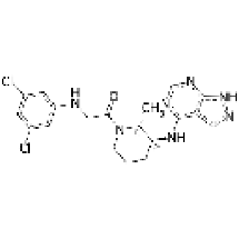 C[C@@H]1[C@@H](Nc2ncnc3[nH]ncc23)CCCN1C(=O)CNc1cc(Cl)cc(Cl)c1